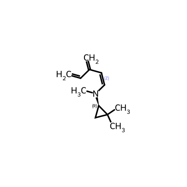 C=CC(=C)/C=C\N(C)[C@@H]1CC1(C)C